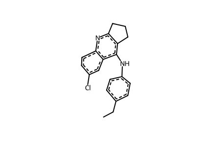 CCc1ccc(Nc2c3c(nc4ccc(Cl)cc24)CCC3)cc1